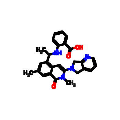 Cc1cc(C(C)Nc2ccccc2C(=O)O)c2cc(N3Cc4cccnc4C3)n(C)c(=O)c2c1